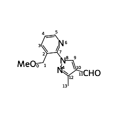 COCc1cccnc1-n1cc(C=O)c(C)n1